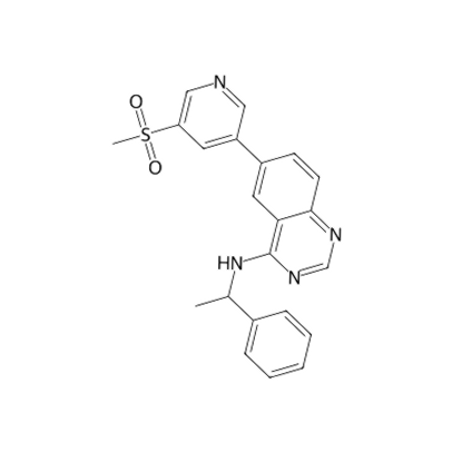 CC(Nc1ncnc2ccc(-c3cncc(S(C)(=O)=O)c3)cc12)c1ccccc1